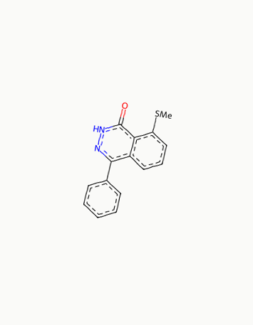 CSc1cccc2c(-c3ccccc3)n[nH]c(=O)c12